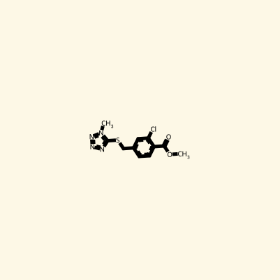 COC(=O)c1ccc(CSc2nnnn2C)cc1Cl